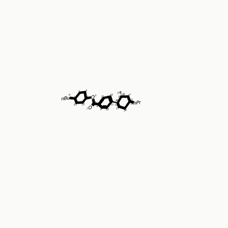 CCCCC1CCC(OC(=O)c2ccc([C@@H]3CCC(CCC)C[C@H]3C)cc2)CC1